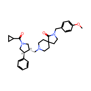 COc1ccc(CN2CCC3(CCN(C[C@H]4CN(C(=O)C5CC5)C[C@@H]4c4ccccc4)CC3)C2=O)cc1